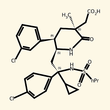 CCCS(=O)(=O)N[C@](C[C@@H]1NC(=O)[C@](C)(CC(=O)O)C[C@@H]1c1cccc(Cl)c1)(c1ccc(Cl)cc1)C1CC1